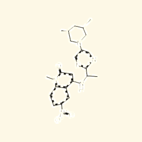 CC(Nc1cc(=O)n(C)c2ccc([N+](=O)[O-])cc12)c1ncc(N2C[C@H](C)C[C@H](C)C2)cn1